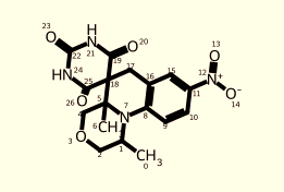 CC1COCC2(C)N1c1ccc([N+](=O)[O-])cc1CC21C(=O)NC(=O)NC1=O